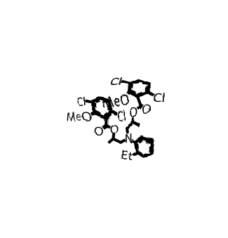 CCc1ccccc1N(CC(C)OC(=O)c1c(Cl)ccc(Cl)c1OC)CC(C)OC(=O)c1c(Cl)ccc(Cl)c1OC